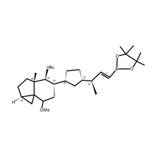 CCCC[C@H]1[C@H]([C@@H]2CC[C@H]([C@H](C)/C=C/B3OC(C)(C)C(C)(C)O3)C2)CC(OC)C23C[C@H]2CC[C@]13C